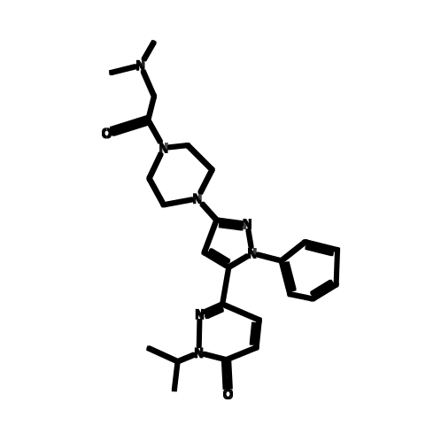 CC(C)n1nc(-c2cc(N3CCN(C(=O)CN(C)C)CC3)nn2-c2ccccc2)ccc1=O